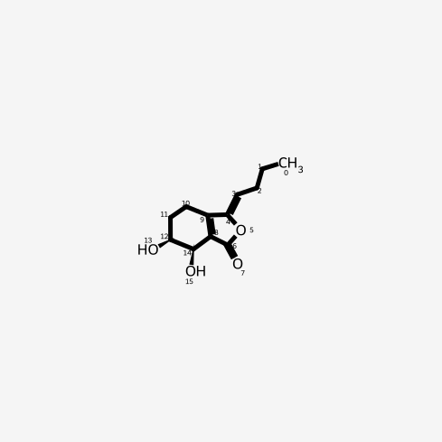 CCC/C=C1\OC(=O)C2=C1CC[C@H](O)[C@@H]2O